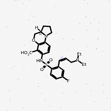 CCN(CC)C/C=C\c1cc(F)ccc1S(=O)(=O)Nc1ccc2c(c1C(=O)O)OC[C@@H]1CCCN21